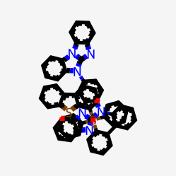 c1ccc(S(c2ccccc2)(c2ccccc2-c2ccccc2-n2c3ccc(-n4c5ccccc5n5c6ccccc6nc45)cc3n3c4ccccc4nc23)c2cccc3c2sc2ccccc23)cc1